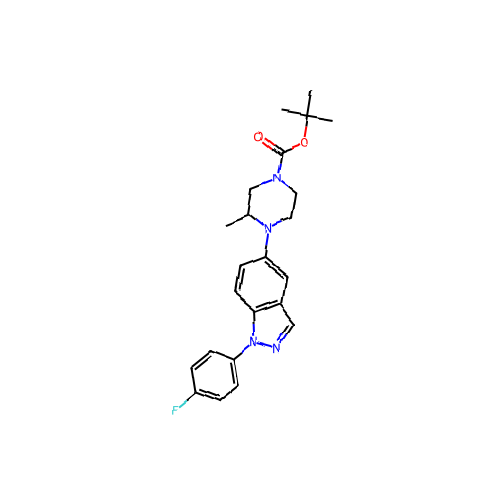 CC1CN(C(=O)OC(C)(C)C)CCN1c1ccc2c(cnn2-c2ccc(F)cc2)c1